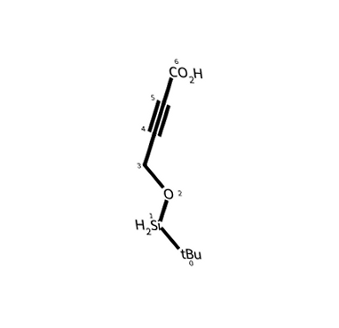 CC(C)(C)[SiH2]OCC#CC(=O)O